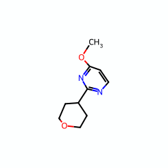 COc1ccnc(C2CCOCC2)n1